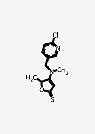 CC1OC(=S)C=C1N(C)Cc1ccc(Cl)nc1